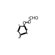 Cc1ccc(OOC=O)cc1